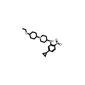 CCOC1CCC(N2CCC(Nc3cc(C4CC4)ccc3[N+](=O)[O-])CC2)CC1